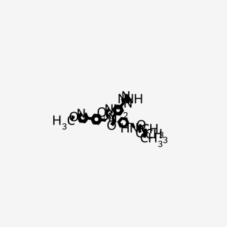 COc1ccc(-c2ccc(C[C@@H](C(N)=O)N(c3ccc(-c4nn[nH]n4)cc3)C(=O)[C@H]3CC[C@H](CNC(=O)OC(C)(C)C)CC3)cc2)cn1